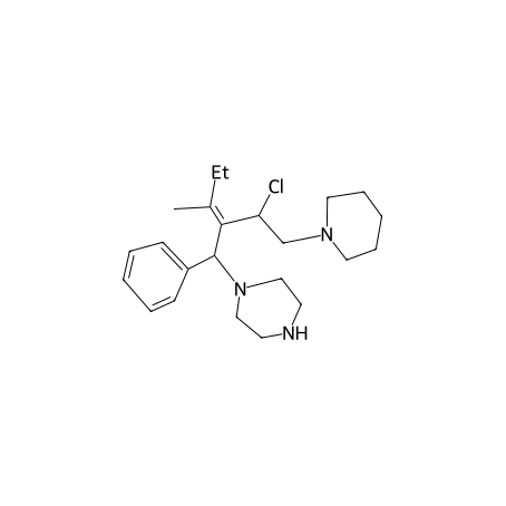 CC/C(C)=C(\C(Cl)CN1CCCCC1)C(c1ccccc1)N1CCNCC1